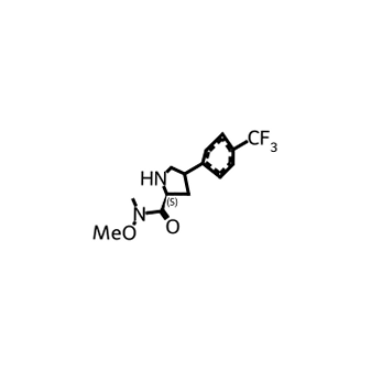 CON(C)C(=O)[C@@H]1CC(c2ccc(C(F)(F)F)cc2)CN1